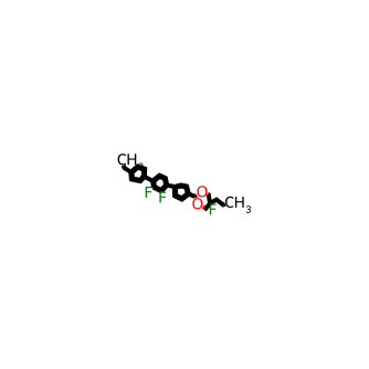 CCCC1(F)COC(c2ccc(-c3ccc(-c4ccc(CC)cc4)c(F)c3F)cc2)OC1